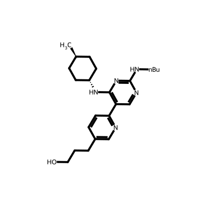 CCCCNc1ncc(-c2ccc(CCCO)cn2)c(N[C@H]2CC[C@H](C)CC2)n1